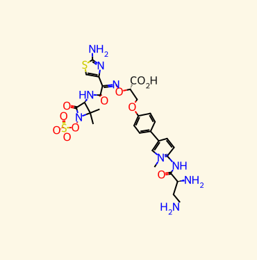 C[n+]1cc(-c2ccc(OC[C@H](O/N=C(\C(=O)N[C@@H]3C(=O)N(OS(=O)(=O)[O-])C3(C)C)c3csc(N)n3)C(=O)O)cc2)ccc1NC(=O)[C@@H](N)CCN